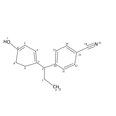 CCC(C1=CC=C(O)CC1)c1ccc(C#N)cc1